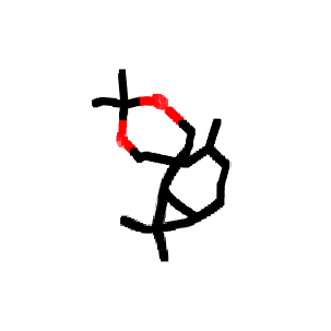 CC1CCC2C(C2(C)C)C12COC(C)(C)OC2